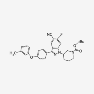 Cc1cccc(Oc2ccc(-c3nn(C4CCCN(C(=O)OC(C)(C)C)C4)c4cc(F)c(C#N)cc34)cc2)c1